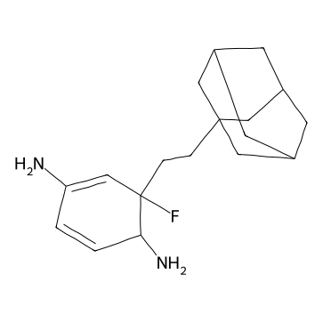 NC1=CC(F)(CCC23CC4CC(CC(C4)C2)C3)C(N)C=C1